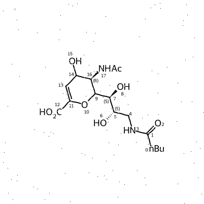 CCCCC(=O)NC[C@H](O)[C@H](O)C1OC(C(=O)O)=CC(O)[C@H]1NC(C)=O